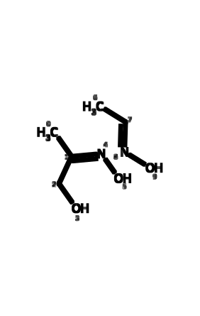 CC(CO)=NO.CC=NO